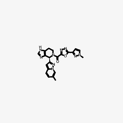 Cc1ccc2cc([C@H]3c4nc[nH]c4CCN3C(=O)c3nnc(-c4ccn(C)n4)o3)nn2c1